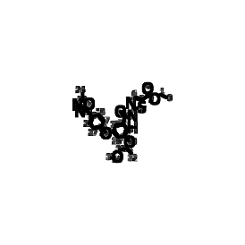 CCOC(=O)c1cnc(NC(=O)c2cc(Oc3ccc(-c4nnc(C)o4)cc3)cc(OC(C)COC)c2)s1